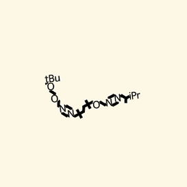 CC(C)C(C)CN1CCN(CCOCC(C)(C)CCC(C)(C)CN2CCN(CCOCCOCC(C)(C)C)CC2)CC1